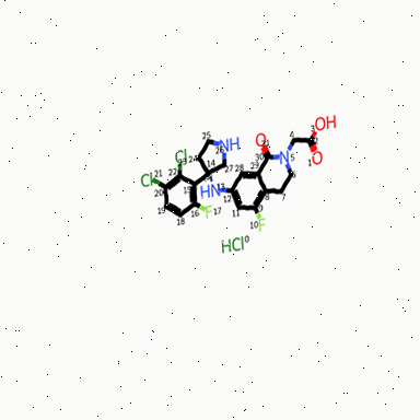 Cl.O=C(O)CN1CCc2c(F)cc(N[C@]3(c4c(F)ccc(Cl)c4Cl)CCNC3)cc2C1=O